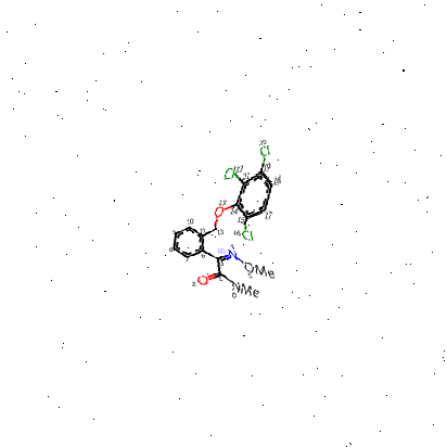 CNC(=O)/C(=N\OC)c1ccccc1COc1c(Cl)ccc(Cl)c1Cl